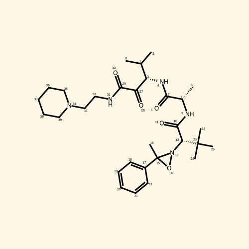 CC(C)[C@H](NC(=O)[C@H](C)NC(=O)[C@@H](N1OC1(C)c1ccccc1)C(C)(C)C)C(=O)C(=O)NCCN1CCCCC1